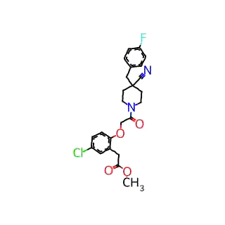 COC(=O)Cc1cc(Cl)ccc1OCC(=O)N1CCC(C#N)(Cc2ccc(F)cc2)CC1